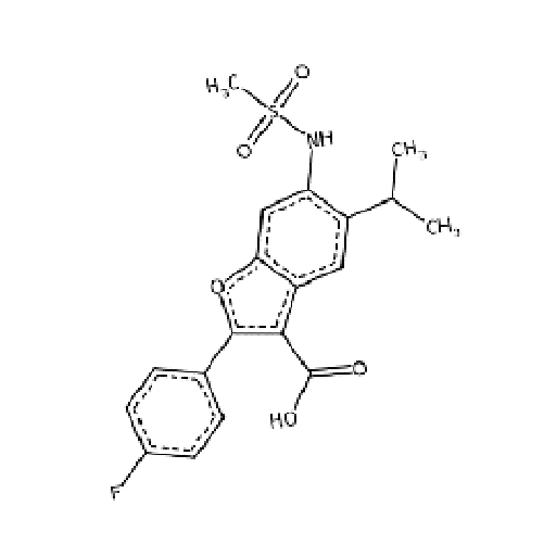 CC(C)c1cc2c(C(=O)O)c(-c3ccc(F)cc3)oc2cc1NS(C)(=O)=O